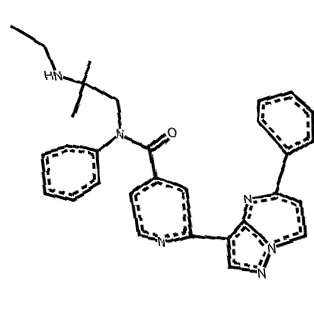 CCNC(C)(C)CN(C(=O)c1ccnc(-c2cnn3ccc(-c4ccccc4)nc23)c1)c1ccccc1